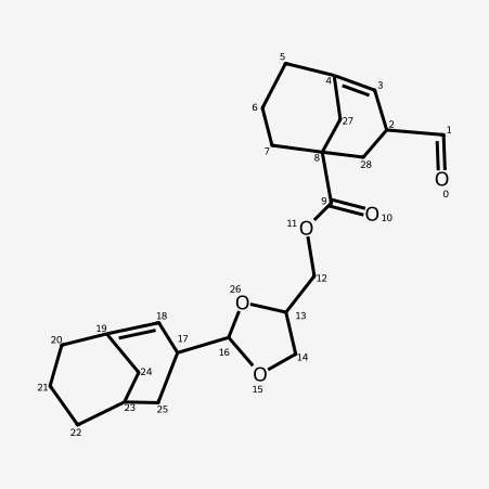 O=CC1C=C2CCCC(C(=O)OCC3COC(C4C=C5CCCC(C5)C4)O3)(C2)C1